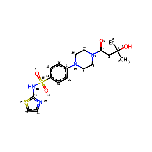 CCC(C)(O)CC(=O)N1CCN(c2ccc(S(=O)(=O)Nc3nccs3)cc2)CC1